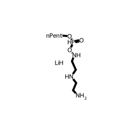 CCCCCO[PH](=O)ONCCNCCN.[LiH]